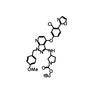 COc1ccc(Cn2nc(NC3CCN(C(=O)OC(C)(C)C)C3)c3c(Oc4ccc(-c5ncco5)c(Cl)c4)ccnc32)cc1